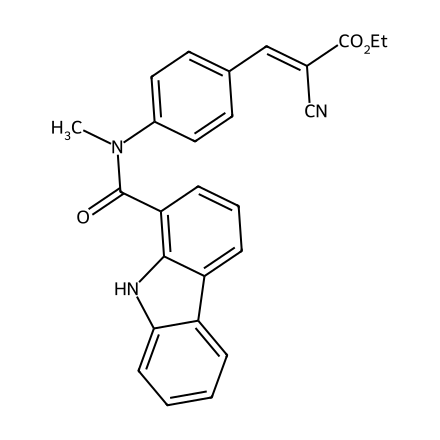 CCOC(=O)C(C#N)=Cc1ccc(N(C)C(=O)c2cccc3c2[nH]c2ccccc23)cc1